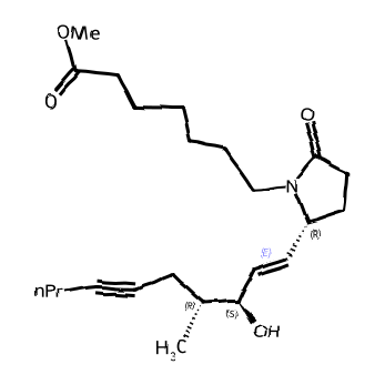 CCCC#CC[C@@H](C)[C@H](O)/C=C/[C@H]1CCC(=O)N1CCCCCCC(=O)OC